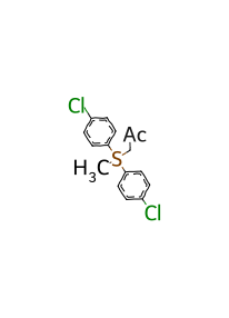 CC(=O)CS(C)(c1ccc(Cl)cc1)c1ccc(Cl)cc1